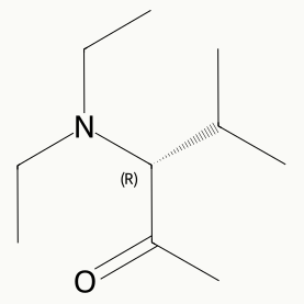 CCN(CC)[C@@H](C(C)=O)C(C)C